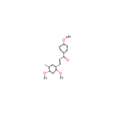 CCCOc1ccc(C(=O)/C=C/c2cc(C)c(OCC)cc2OCC)cc1